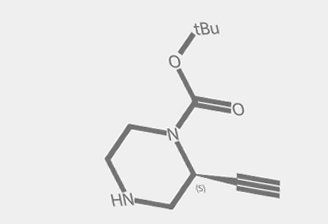 C#C[C@H]1CNCCN1C(=O)OC(C)(C)C